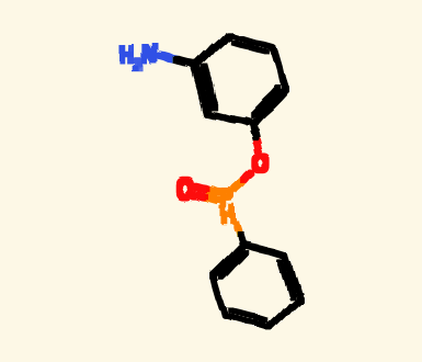 Nc1cccc(O[PH](=O)c2ccccc2)c1